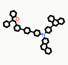 c1ccc(-c2c(-c3cccc(-c4ccc(-c5ccc(N(c6ccc(-c7cc8ccccc8c8ccccc78)cc6)c6ccc7c(ccc8ccccc87)c6)cc5)cc4)c3)oc3ccccc23)cc1